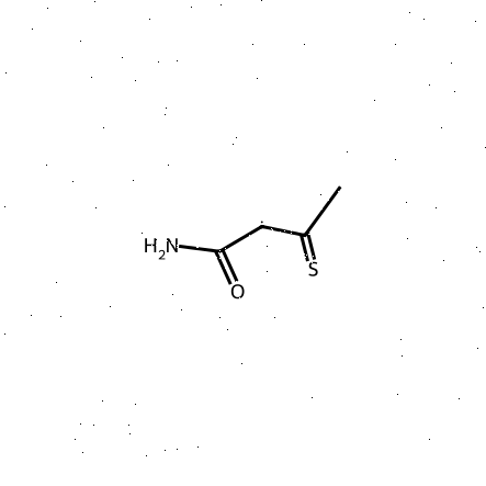 CC(=S)[CH]C(N)=O